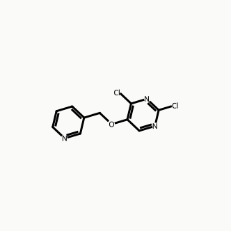 Clc1ncc(OCc2cccnc2)c(Cl)n1